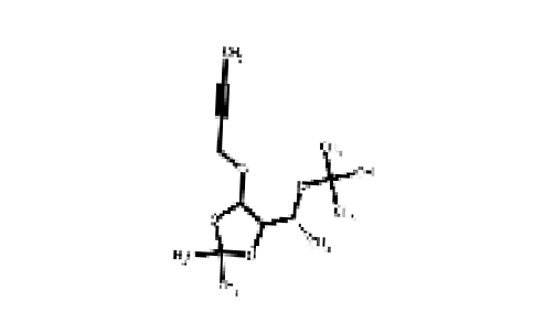 CC#CCOC1OC(C)(C)OC1[C@@H](C)OC(C)(C)O